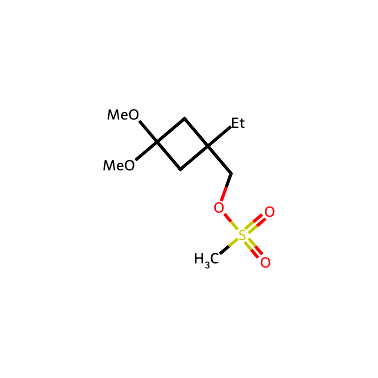 CCC1(COS(C)(=O)=O)CC(OC)(OC)C1